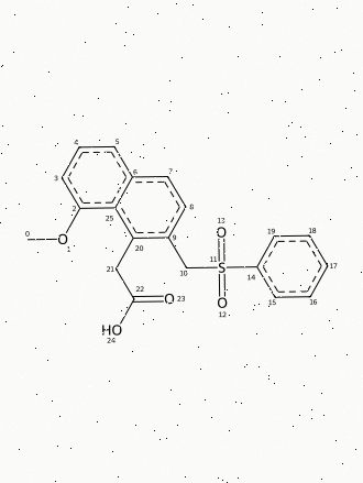 COc1cccc2ccc(CS(=O)(=O)c3ccccc3)c(CC(=O)O)c12